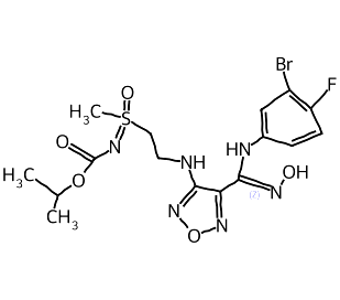 CC(C)OC(=O)N=S(C)(=O)CCNc1nonc1/C(=N/O)Nc1ccc(F)c(Br)c1